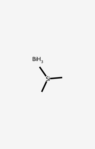 C[Si](C)C.[BiH3]